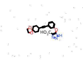 O=C(O)c1nn[nH]c1Oc1cccc(C#CC2CCC3(CC2)OCCO3)c1